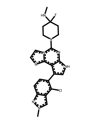 CNC1(F)CCN(c2nc3[nH]cc(-c4ccc5nn(C)cc5c4Cl)c3c3nccn23)CC1